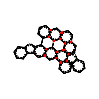 c1ccc(-c2ccccc2-c2c(-c3ccccc3)cccc2N(c2ccccc2-c2cccc3c2sc2ccccc23)c2ccccc2-c2cccc3c2sc2ccccc23)cc1